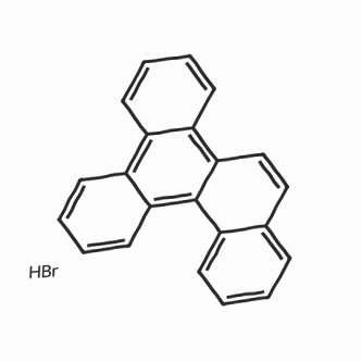 Br.c1ccc2c(c1)ccc1c3ccccc3c3ccccc3c21